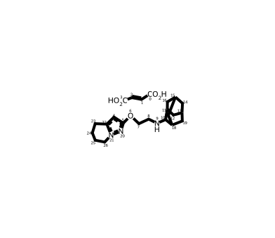 O=C(O)C=CC(=O)O.c1c(OCCNC2C3CC4CC(C3)CC2C4)nn2c1CCCC2